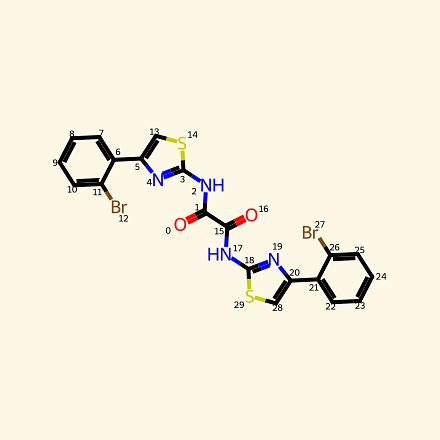 O=C(Nc1nc(-c2ccccc2Br)cs1)C(=O)Nc1nc(-c2ccccc2Br)cs1